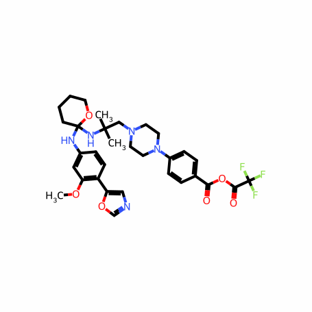 COc1cc(NC2(NC(C)(C)CN3CCN(c4ccc(C(=O)OC(=O)C(F)(F)F)cc4)CC3)CCCCO2)ccc1-c1cnco1